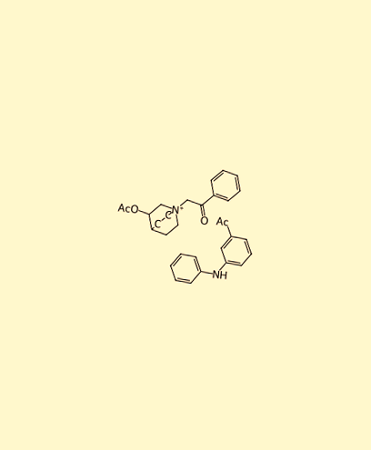 CC(=O)OC1C[N+]2(CC(=O)c3ccccc3)CCC1CC2.CC(=O)c1cccc(Nc2ccccc2)c1